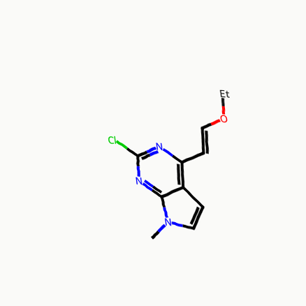 CCOC=Cc1nc(Cl)nc2c1ccn2C